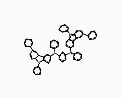 C1=CC2C(C=C1c1ccccc1)c1cc(N(c3ccccc3)c3cccc(N(c4ccccc4)c4ccc5c(c4)c4cc(-c6ccccc6)ccc4n5-c4ccccc4)c3)ccc1N2c1ccccc1